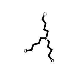 ClCCCCP(CCCCCl)CCCCCl